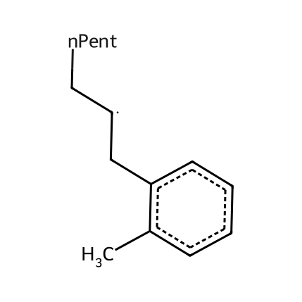 CCCCCC[CH]Cc1ccccc1C